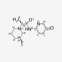 C[C@@H](C(=O)Nc1ccc(Cl)cn1)N1CCC[C@H](F)C1